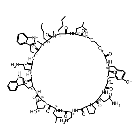 CCCC[C@H]1C(=O)N(C)[C@@H](CCCC)C(=O)N[C@@H](CC(C)C)C(=O)NCCOCC(=O)N[C@@H](Cc2ccc(O)cc2)C(=O)N(C)[C@@H](C)C(=O)N[C@@H](CC(N)=O)C(=O)N2CCCC2C(=O)N[C@@H](CN)C(=O)N[C@@H](CC(C)C)C(=O)N2C[C@H](O)C[C@H]2C(=O)N[C@@H](Cc2c[nH]c3ccccc23)C(=O)N[C@@H](CCN)C(=O)N[C@@H](Cc2c[nH]c3ccccc23)C(=O)N1C